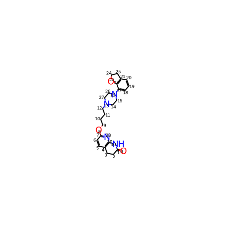 O=C1CCc2ccc(OCCCCN3CCN(c4cccc5c4OCC5)CC3)nc2N1